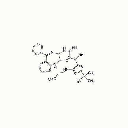 COCCNc1sc(C(C)(C)C(F)(F)F)nc1C(=N)OC(=N)NC1N=C(c2ccccc2)c2ccccc2NC1=O